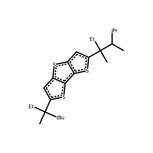 CCC(C)(c1cc2sc3cc(C(C)(CC)C(C)(C)C)sc3c2s1)C(C)C(C)C